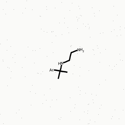 CC(=O)C(C)(C)NCCN